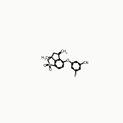 C=C1CC2(C)CS(=O)(=O)c3ccc(Oc4cc(F)cc(C#N)c4)c1c32